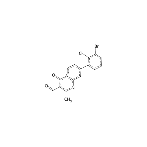 Cc1nc2cc(-c3cccc(Br)c3Cl)ccn2c(=O)c1C=O